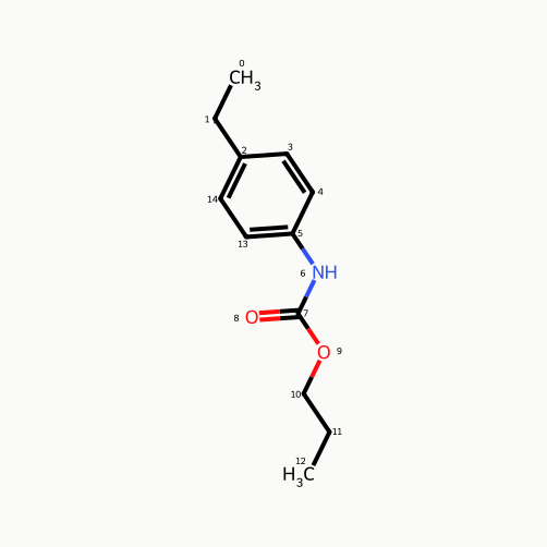 C[CH]c1ccc(NC(=O)OCCC)cc1